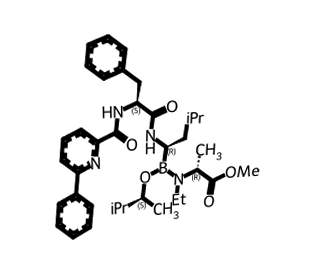 CCN(B(O[C@@H](C)C(C)C)[C@H](CC(C)C)NC(=O)[C@H](Cc1ccccc1)NC(=O)c1cccc(-c2ccccc2)n1)[C@H](C)C(=O)OC